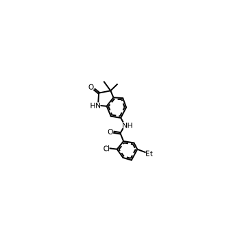 CCc1ccc(Cl)c(C(=O)Nc2ccc3c(c2)NC(=O)C3(C)C)c1